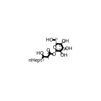 CCCCCCCC(O)CC(=O)O[C@H]1O[C@H](CO)[C@@H](O)[C@H](O)[C@H]1O